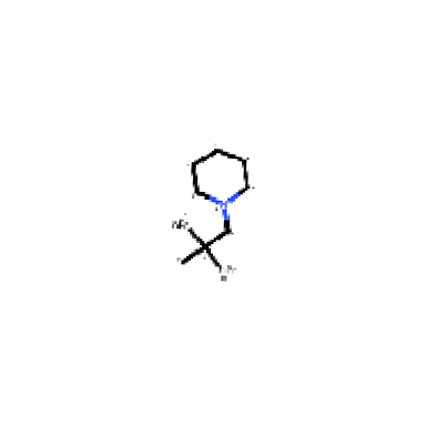 CCCC(C)(CCC)CN1CCCCC1